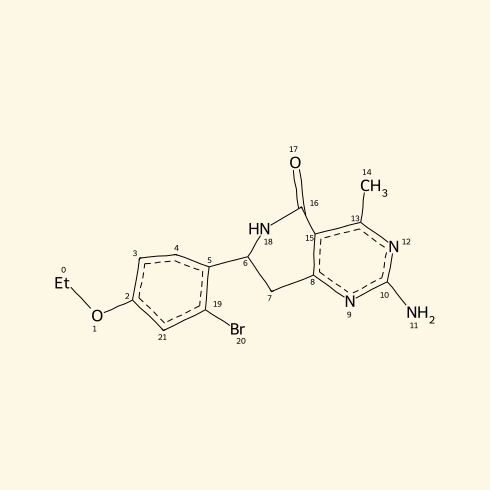 CCOc1ccc(C2Cc3nc(N)nc(C)c3C(=O)N2)c(Br)c1